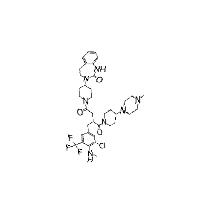 CNc1c(Cl)cc(CC(CC(=O)N2CCC(N3CCc4ccccc4NC3=O)CC2)C(=O)N2CCC(N3CCN(C)CC3)CC2)cc1C(F)(F)F